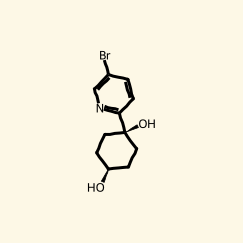 O[C@H]1CC[C@](O)(c2ccc(Br)cn2)CC1